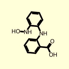 O=C(O)c1ccccc1Nc1ccccc1NO